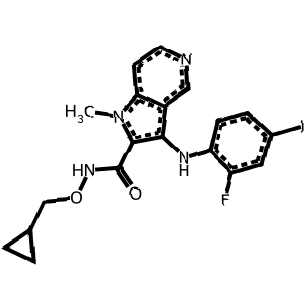 Cn1c(C(=O)NOCC2CC2)c(Nc2ccc(I)cc2F)c2cnccc21